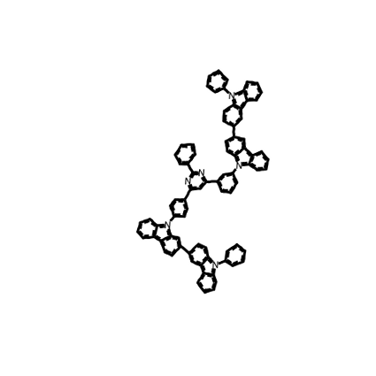 c1ccc(-c2nc(-c3ccc(-n4c5ccccc5c5ccc(-c6ccc7c(c6)c6ccccc6n7-c6ccccc6)cc54)cc3)cc(-c3cccc(-n4c5ccccc5c5cc(-c6ccc7c(c6)c6ccccc6n7-c6ccccc6)ccc54)c3)n2)cc1